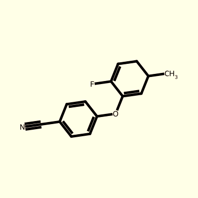 CC1C=C(Oc2ccc(C#N)cc2)C(F)=CC1